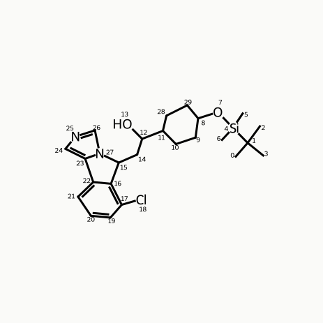 CC(C)(C)[Si](C)(C)OC1CCC(C(O)CC2c3c(Cl)cccc3-c3cncn32)CC1